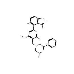 CCc1ccc2[nH]nc(C)c2c1-c1cc(OC(C)C)c(CN2CC(C)OC(c3ccccc3)C2)c(C)n1